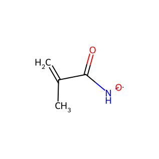 C=C(C)C(=O)N[O]